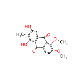 COc1ccc2c(c1OC)C(=O)c1cc(O)c(C)c(O)c1C2=O